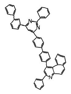 c1ccc(-c2cccc(-c3cc(-c4ccc(-c5ccc(-c6cc(-c7ccccc7)nc7ccc8ccccc8c67)cc5)cc4)nc(-c4ccccc4)n3)c2)cc1